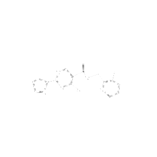 Cc1cccnc1CNC(=O)c1cnc(-c2nccs2)nc1N